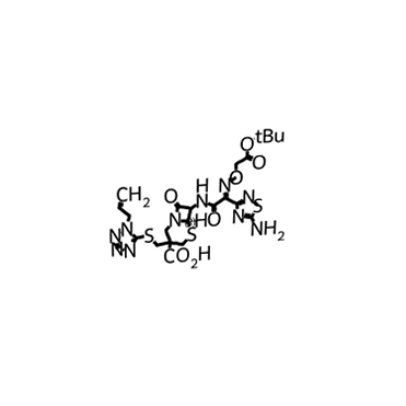 C=CCn1nnnc1SCC1(C(=O)O)CS[C@@H]2C(NC(=O)C(=NOCC(=O)OC(C)(C)C)c3nsc(N)n3)C(=O)N2C1